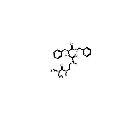 CCCN(CCC)C(=O)N(C)CCN(C)C(=O)N[C@@H](Cc1ccccc1)C(=O)OCc1ccccc1